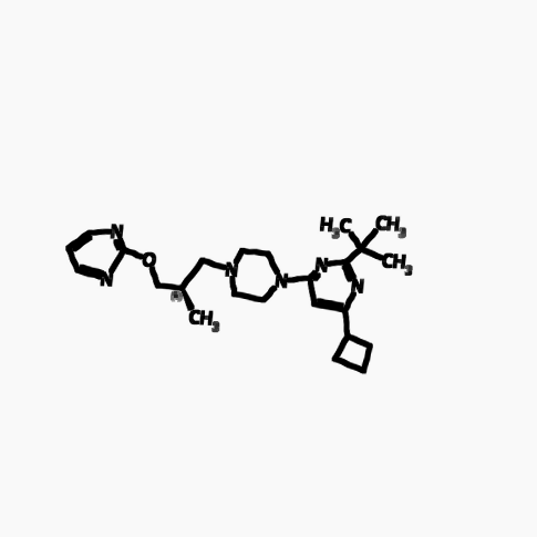 C[C@@H](COc1ncccn1)CN1CCN(c2cc(C3CCC3)nc(C(C)(C)C)n2)CC1